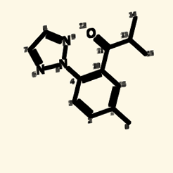 Cc1ccc(-n2nccn2)c(C(=O)C(C)C)c1